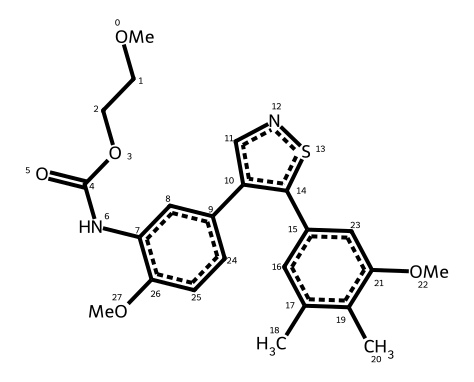 COCCOC(=O)Nc1cc(-c2cnsc2-c2cc(C)c(C)c(OC)c2)ccc1OC